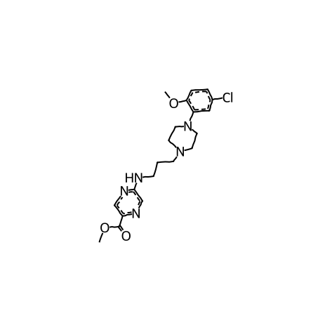 COC(=O)c1cnc(NCCCN2CCN(c3cc(Cl)ccc3OC)CC2)cn1